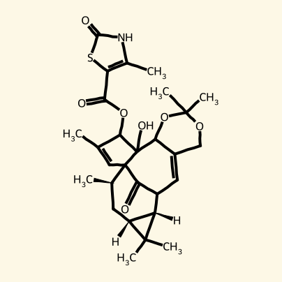 CC1=CC23C(=O)C(C=C4COC(C)(C)OC4C2(O)C1OC(=O)c1sc(=O)[nH]c1C)[C@H]1[C@@H](C[C@H]3C)C1(C)C